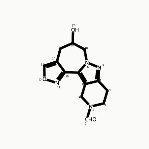 O=CN1CCc2nn3c(c2C1)-c1nocc1CC(O)C3